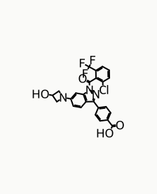 O=C(O)c1ccc(-c2nn(C(=O)c3c(Cl)cccc3C(F)(F)F)c3cc(N4CC(O)C4)ccc23)cc1